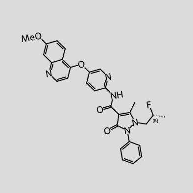 COc1ccc2c(Oc3ccc(NC(=O)c4c(C)n(C[C@@H](C)F)n(-c5ccccc5)c4=O)nc3)ccnc2c1